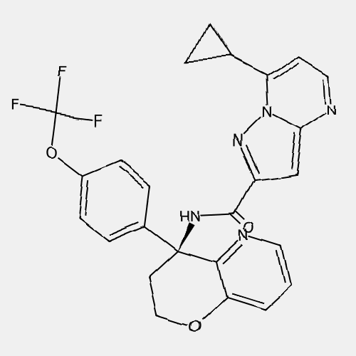 O=C(N[C@]1(c2ccc(OC(F)(F)F)cc2)CCOc2cccnc21)c1cc2nccc(C3CC3)n2n1